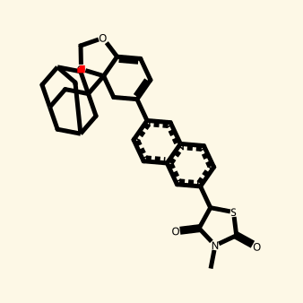 CN1C(=O)SC(c2ccc3cc(C4=CC=C5OCOC5(C56CC7CC(CC(C7)C5)C6)C4)ccc3c2)C1=O